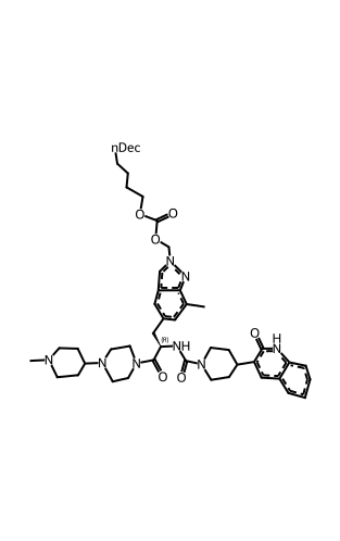 CCCCCCCCCCCCCCOC(=O)OCn1cc2cc(C[C@@H](NC(=O)N3CCC(c4cc5ccccc5[nH]c4=O)CC3)C(=O)N3CCN(C4CCN(C)CC4)CC3)cc(C)c2n1